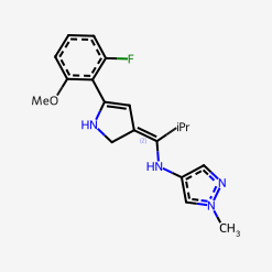 COc1cccc(F)c1C1=C/C(=C(/Nc2cnn(C)c2)C(C)C)CN1